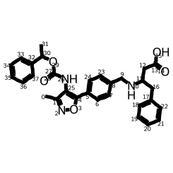 Cc1noc(-c2ccc(CNC(CC(=O)O)Cc3ccccc3)cc2)c1NC(=O)OC(C)c1ccccc1